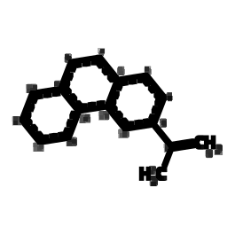 C=C(C)c1ccc2ccc3ccccc3c2c1